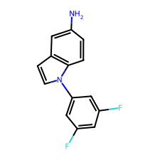 Nc1ccc2c(ccn2-c2cc(F)cc(F)c2)c1